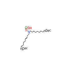 CCCCCCCCCCCCCCCCCCN(C)CCCCCCCCCCCCCCCCCC.[O-][Cl+]O